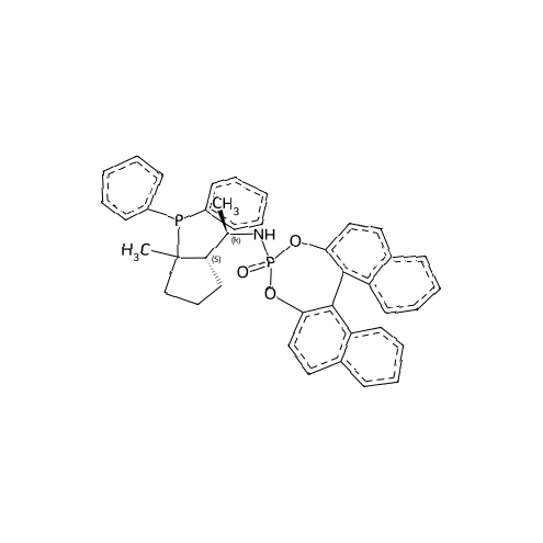 C[C@@H](NP1(=O)Oc2ccc3ccccc3c2-c2c(ccc3ccccc23)O1)[C@@H]1CCCC1(C)P(c1ccccc1)c1ccccc1